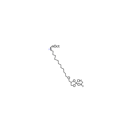 CCCCCCCC/C=C\CCCCCCCCCCCCOCC1COC(C)(C)O1